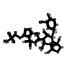 CS(=O)(=O)NCc1csc2c1S(=O)(=O)N=C(C1=C(O)C3C([C@@H]4CC[C@H]3C4)N(Cc3ccc(F)c(Cl)c3)C1=O)N2